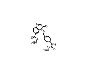 CCCCOC(=O)c1ccc2ncc(=O)n(CCN3CCC(NC(=O)OC(C)(C)C)CC3)c2c1